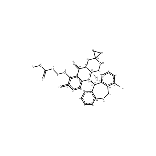 COC(=O)OCOc1c2n(ccc1=O)N([C@@H]1c3ccccc3SCc3c(F)cccc31)[C@@H]1COC3(CC3)CN1C2=O